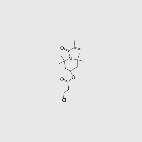 C=C(C)C(=O)N1C(C)(C)CC(OC(=O)CCCl)CC1(C)C